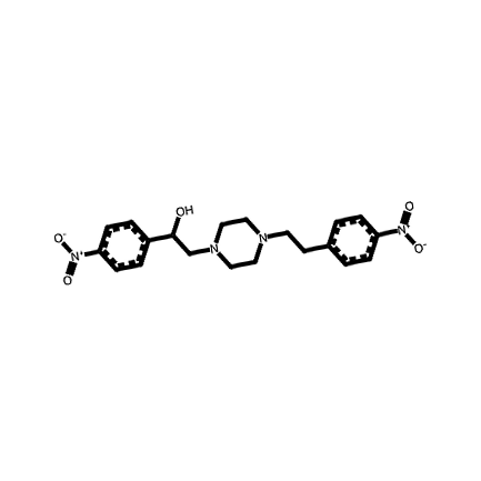 O=[N+]([O-])c1ccc(CCN2CCN(CC(O)c3ccc([N+](=O)[O-])cc3)CC2)cc1